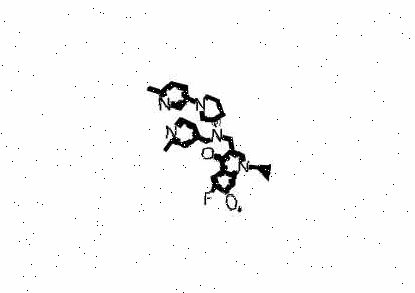 COc1cc2c(cc1F)c(=O)c(CN(Cc1ccnc(C)c1)[C@H]1CCCN(c3ccc(C)nc3)C1)cn2C1CC1